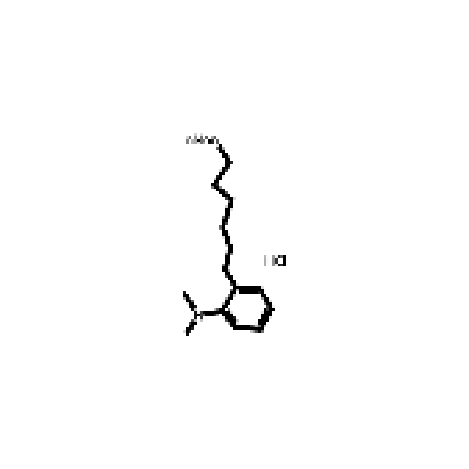 CCCCCCCCCCCCCCCc1ccccc1N(C)C.Cl